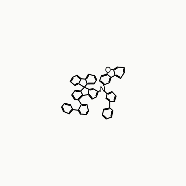 c1ccc(-c2cccc(N(c3ccc4c(c3)C3(c5ccccc5-c5ccccc53)c3cccc(-c5ccccc5-c5ccccc5)c3-4)c3ccc4oc5ccccc5c4c3)c2)cc1